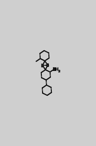 BC1CC(C2CCCCC2)CCC12B1B2C12CCCCC2C